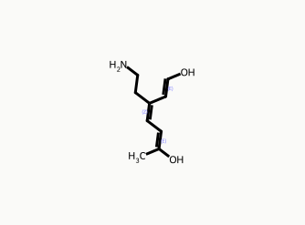 C\C(O)=C/C=C(\C=C\O)CCN